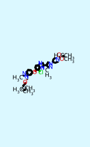 Cc1nn(C2CCN(C(=O)OC(C)(C)C)CC2)cc1-c1cnc2ccc(Oc3ccc4nc(C)n(COCC[Si](C)(C)C)c4c3)c(Cl)c2n1